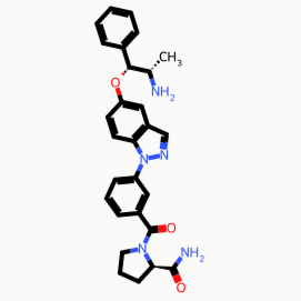 C[C@H](N)[C@H](Oc1ccc2c(cnn2-c2cccc(C(=O)N3CCC[C@@H]3C(N)=O)c2)c1)c1ccccc1